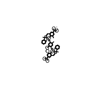 COc1cc(CN2c3ccccc3C(C)(C)C23C=Cc2cc([N+](=O)[O-])cc(C)c2O3)c(C)cc1CN1c2ccccc2C(C)(C)C12C=Cc1cc([N+](=O)[O-])cc(OC)c1O2